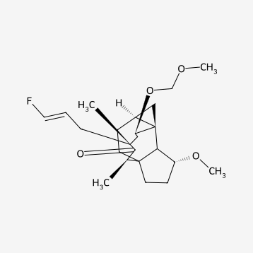 COCO[C@@H]1C[C@@](C)(CC=CF)C(=O)[C@H](C)C23CC[C@H]4C[C@]41C2[C@H](OC)CC3